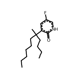 CCCCCCC(C)(CCCC)c1cc(F)c[nH]c1=O